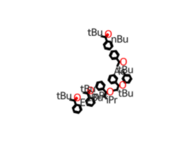 CC(=O)c1ccccc1.CC(C(=O)c1ccccc1)C(C)(C)C.CC(C)(C)CC(=O)c1ccccc1.CC(C)C(C(=O)c1ccccc1)C(C)(C)C.CCCCc1ccccc1C(=O)CC(C)(C)C.CCCc1ccccc1C(=O)CC(C)(C)C.CCc1ccccc1C(=O)CC(C)(C)C